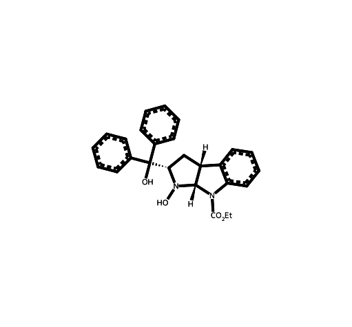 CCOC(=O)N1c2ccccc2[C@H]2C[C@@H](C(O)(c3ccccc3)c3ccccc3)N(O)[C@H]21